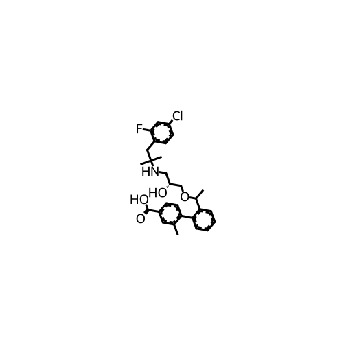 Cc1cc(C(=O)O)ccc1-c1ccccc1C(C)OC[C@H](O)CNC(C)(C)Cc1ccc(Cl)cc1F